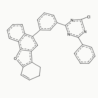 Clc1nc(-c2ccccc2)nc(-c2cccc(-c3cc4c5c(oc4c4ccccc34)C=CCC5)c2)n1